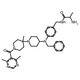 Cc1ncnc(C)c1C(=O)N1CCC(C)(N2CCC(N(Cc3ccccc3)c3ccc(CNC(=O)C(C)N)cc3)CC2)CC1